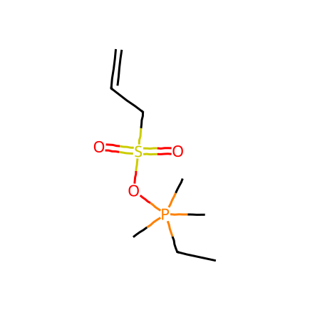 C=CCS(=O)(=O)OP(C)(C)(C)CC